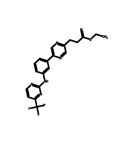 CCOC(=O)CCc1cnc(-c2cccc(Nc3nccc(C(F)(F)F)n3)c2)cn1